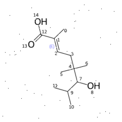 C/C(=C\CC(C)(C)C(O)C(C)C)C(=O)O